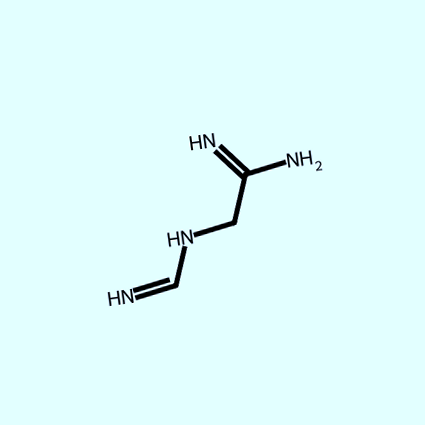 N=CNCC(=N)N